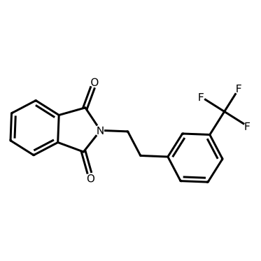 O=C1c2ccccc2C(=O)N1CCc1cccc(C(F)(F)F)c1